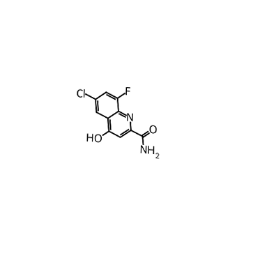 NC(=O)c1cc(O)c2cc(Cl)cc(F)c2n1